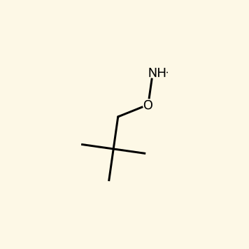 CC(C)(C)CO[NH]